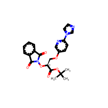 CC(C)(C)OC(=O)[C@H](COc1ccc(-n2ccnc2)nc1)ON1C(=O)c2ccccc2C1=O